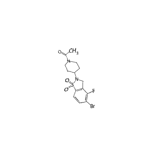 CC(=O)N1CCC(N2Cc3c(ccc(Br)c3F)S2(=O)=O)CC1